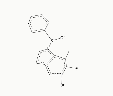 Cc1c(F)c(Br)cc2ccn([S+]([O-])c3ccccc3)c12